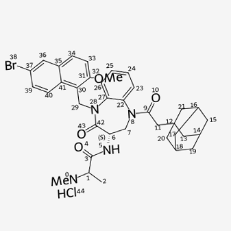 CNC(C)C(=O)N[C@H]1CN(C(=O)CC23CC4CC(CC(C4)C2)C3)c2ccccc2N(Cc2c(OC)ccc3cc(Br)ccc23)C1=O.Cl